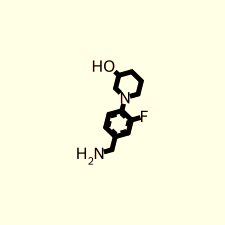 NCc1ccc(N2CCCC(O)C2)c(F)c1